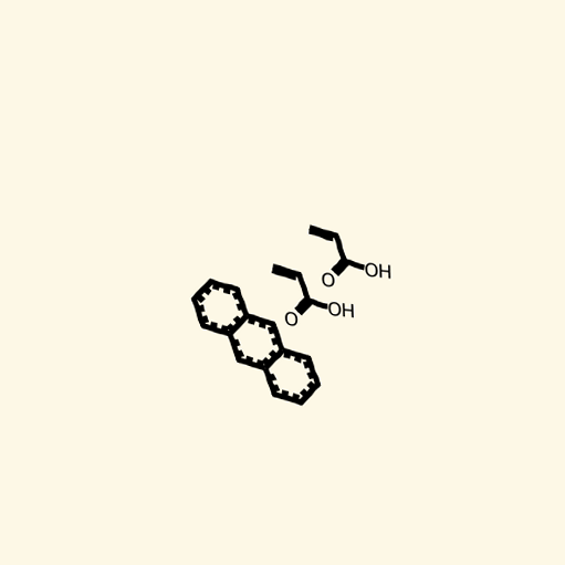 C=CC(=O)O.C=CC(=O)O.c1ccc2cc3ccccc3cc2c1